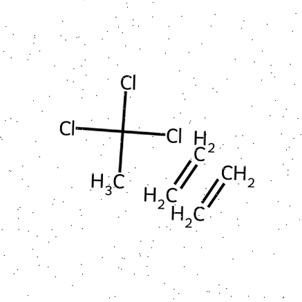 C=C.C=C.CC(Cl)(Cl)Cl